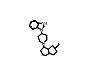 FC1CCC2CCCC(N3CCC(N4[CH]Nc5ccccc54)CC3)C2C1